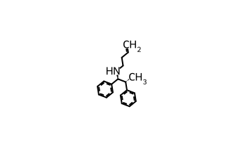 C=CCCN[C@H](c1ccccc1)[C@H](C)c1ccccc1